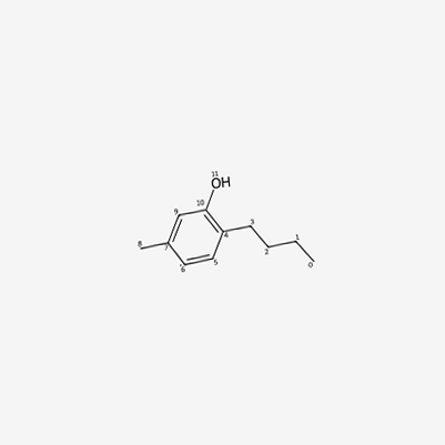 CCCCc1c[c]c(C)cc1O